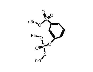 CCCCOS(=O)(=O)c1cccc(OP(=O)(OCC)SCCC)c1